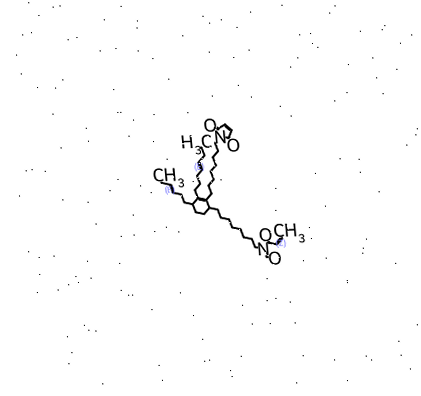 C/C=C\C(=O)N(C=O)CCCCCCCCC1CCC(CC/C=C/CC)C(CCC/C=C/CCC)=C1CCCCCCCCN1C(=O)C=CC1=O